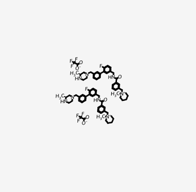 C[C@H]1CN(Cc2cccc(-c3cc(CNC(=O)c4cccc(C[N+]5(C)CCCCC5)c4)ccc3F)c2)CCN1.C[C@H]1CN(Cc2cccc(-c3cc(CNC(=O)c4cccc(C[N+]5(C)CCCCC5)c4)ccc3F)c2)CCN1.O=C([O-])C(F)(F)F.O=C([O-])C(F)(F)F